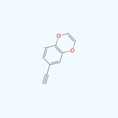 C#Cc1c[c]c2c(c1)OC=CO2